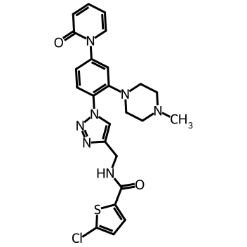 CN1CCN(c2cc(-n3ccccc3=O)ccc2-n2cc(CNC(=O)c3ccc(Cl)s3)nn2)CC1